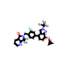 [2H]C1([2H])c2ncccc2C(=O)N1Cc1c(F)cc(-c2ccc(OC3CC3)c3nn(C([2H])([2H])[2H])cc23)cc1F